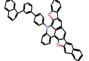 c1cc(-c2ccc(N(c3ccccc3-c3cccc4c3oc3cc5ccccc5cc34)c3cccc4c3oc3ccccc34)cc2)cc(-c2cccc3ccccc23)c1